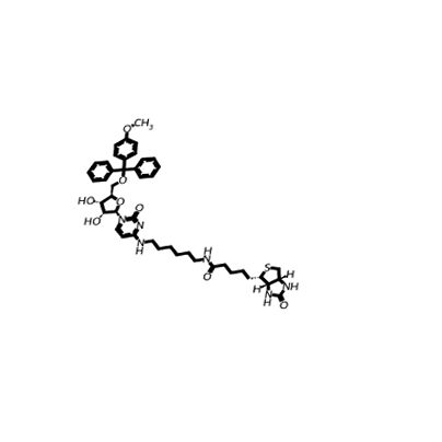 COc1ccc(C(OC[C@H]2O[C@@H](n3ccc(NCCCCCCNC(=O)CCCC[C@@H]4SC[C@@H]5NC(=O)N[C@@H]54)nc3=O)[C@H](O)[C@@H]2O)(c2ccccc2)c2ccccc2)cc1